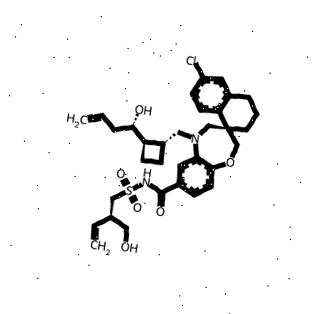 C=CC[C@H](O)[C@@H]1CC[C@H]1CN1C[C@@]2(CCCc3cc(Cl)ccc32)COc2ccc(C(=O)NS(=O)(=O)C[C@H](C=C)CO)cc21